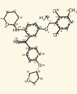 Cc1ncc(Cl)c([C@@H](N)Oc2ccc(NC3CCCCO3)c(C(=N)c3ccc(O[C@@H]4CCOC4)nc3)c2)c1Cl